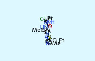 CCOC(=O)c1sc(N2CCC(NC(=O)c3nc(Cl)c(CC)[nH]3)C(OC)C2)nc1/C=N\OC